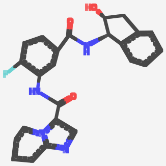 O=C(N[C@@H]1c2ccccc2C[C@@H]1O)c1ccc(F)c(NC(=O)c2cnc3ccccn23)c1